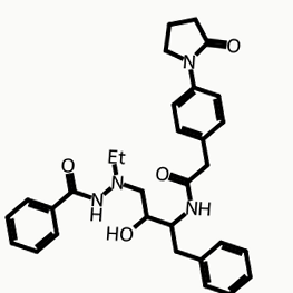 CCN(CC(O)C(Cc1ccccc1)NC(=O)Cc1ccc(N2CCCC2=O)cc1)NC(=O)c1ccccc1